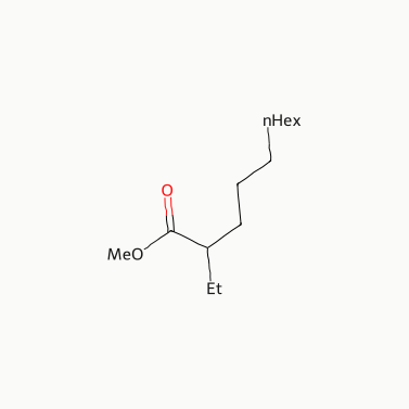 CCCCCCCCCC(CC)C(=O)OC